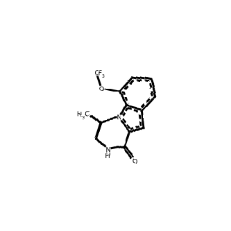 CC1CNC(=O)c2cc3cccc(OC(F)(F)F)c3n21